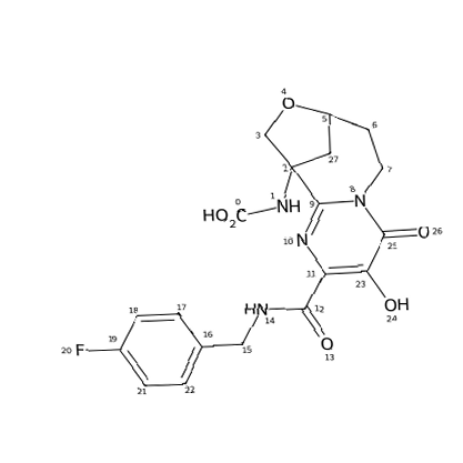 O=C(O)NC12COC(CCn3c1nc(C(=O)NCc1ccc(F)cc1)c(O)c3=O)C2